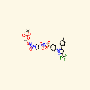 Cc1ccc(-c2cc(C(F)(F)F)nn2-c2ccc(S(=O)(=O)NC(=O)OC3CCN([N+]([O-])=NOC(C)OC(=O)OC(C)(C)C)C3)cc2)cc1